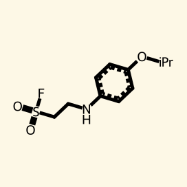 CC(C)Oc1ccc(NCCS(=O)(=O)F)cc1